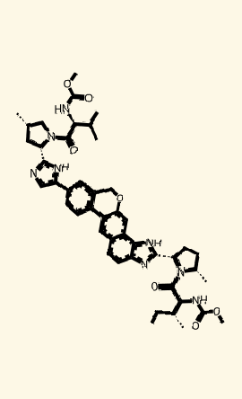 CC[C@@H](C)C(NC(=O)OC)C(=O)N1[C@@H](C)CC[C@H]1c1nc2ccc3cc4c(cc3c2[nH]1)OCc1cc(-c2cnc([C@@H]3C[C@H](C)CN3C(=O)[C@@H](NC(=O)OC)C(C)C)[nH]2)ccc1-4